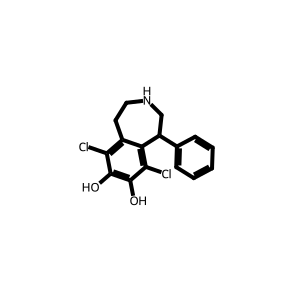 Oc1c(O)c(Cl)c2c(c1Cl)CCNCC2c1ccccc1